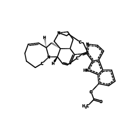 CC(=O)Oc1cccc2c1[nH]c1c(C3=C/C4=C\C/C=C/CCCCN5CCC3[C@]3(C[C@@H]6/C=C\CCCCN6[C@@H]43)C5)nccc12